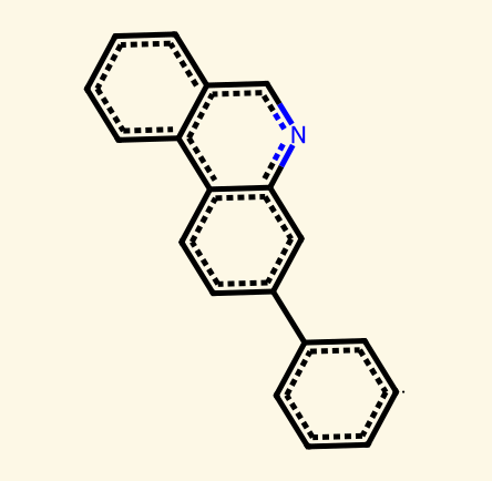 [c]1cccc(-c2ccc3c(c2)ncc2ccccc23)c1